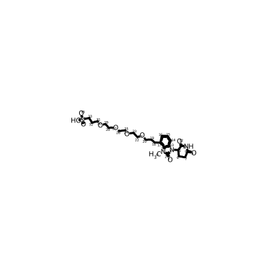 Cn1c(=O)n(C2CCC(=O)NC2=O)c2cccc(CCCOCCOCCOCCOCCCS(=O)(=O)O)c21